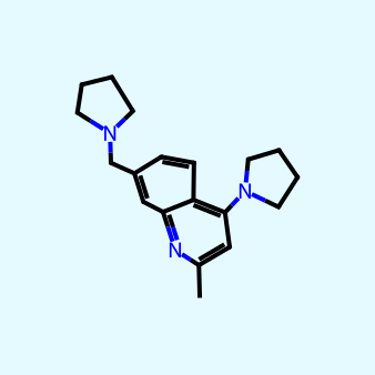 Cc1cc(N2CCCC2)c2ccc(CN3CCCC3)cc2n1